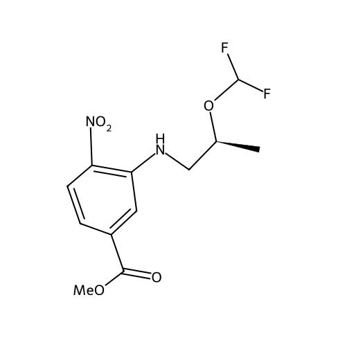 COC(=O)c1ccc([N+](=O)[O-])c(NC[C@H](C)OC(F)F)c1